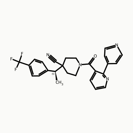 C[C@@H](c1ccc(C(F)(F)F)cc1)C1(C#N)CCN(C(=O)c2cccnc2-c2ccncc2)CC1